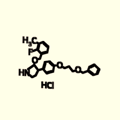 Cc1cccc(COC2CNCCC2c2ccc(OCCCOCc3ccccc3)cc2)c1F.Cl